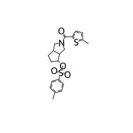 Cc1ccc(S(=O)(=O)OC2CCC3CN(C(=O)c4ccc(C)s4)CC32)cc1